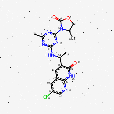 CCC1COC(=O)N1c1nc(C)nc(N[C@@H](C)c2cc3cc(Cl)cnc3[nH]c2=O)n1